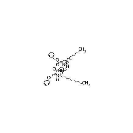 C=CCCCCCCCCC(=O)N[C@@H](CCOc1ccccc1)C(=O)NCC(=O)N1[C@H]2C[C@@]2(COCCCC=C)C[C@H]1C(=O)OCc1ccccc1